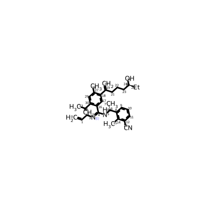 C=CC/N=C(/N[C@H](C)c1cccc(C#N)c1C)c1cc(C(=C)CCC[C@@H](O)CC)c(C)cc1C(=C)C